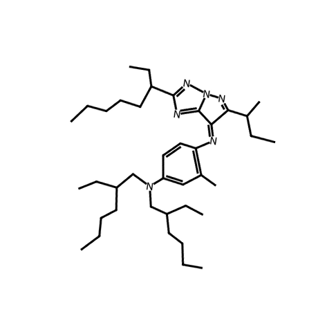 CCCCCC(CC)c1nc2n(n1)N=C(C(C)CC)/C2=N/c1ccc(N(CC(CC)CCCC)CC(CC)CCCC)cc1C